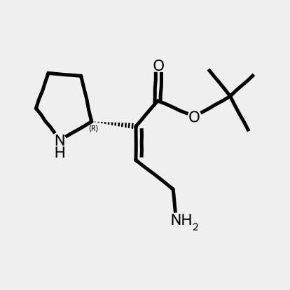 CC(C)(C)OC(=O)C(=CCN)[C@H]1CCCN1